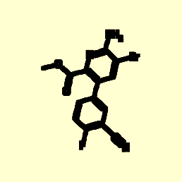 COC(=O)c1nc(N)c(Br)cc1-c1ccc(F)c(C#N)c1